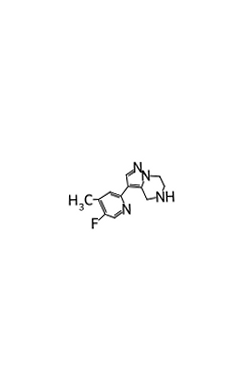 Cc1cc(-c2cnn3c2CNCC3)ncc1F